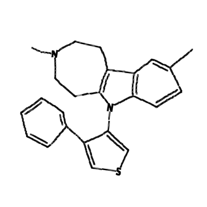 Cc1ccc2c(c1)c1c(n2-c2cscc2-c2ccccc2)CCN(C)CC1